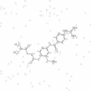 CN(C)C(=O)COC(=O)Cc1ccc(OC(=O)c2ccc(NC(=N)N)cc2)cc1CC(C)(C)C